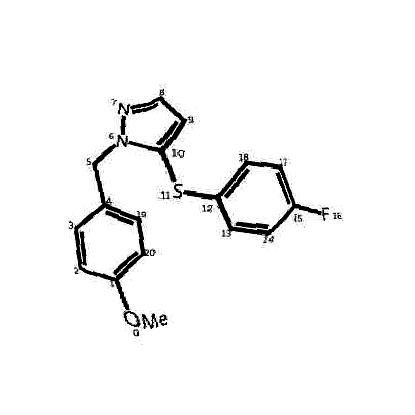 COc1ccc(Cn2nccc2Sc2ccc(F)cc2)cc1